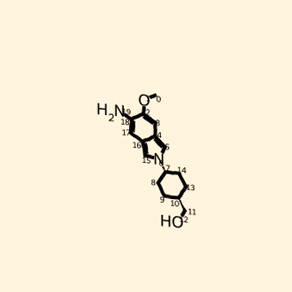 COc1cc2cn([C@H]3CC[C@H](CO)CC3)cc2cc1N